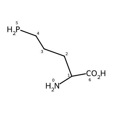 NC(CCCP)C(=O)O